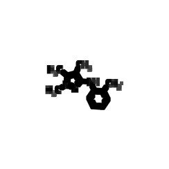 [CH2]c1ccccc1Nc1nn(C)c(C)c1C